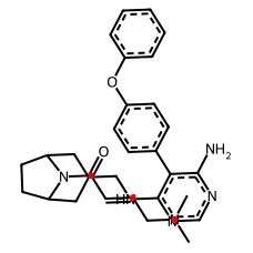 CN(C)CC=CC(=O)N1C2CCC1CC(CNc1ncnc(N)c1-c1ccc(Oc3ccccc3)cc1)C2